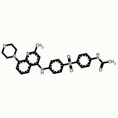 CC(=O)Nc1ccc(S(=O)(=O)c2ccc(Nc3cc(C)nc4c(N5CCOCC5)cccc34)cc2)cc1